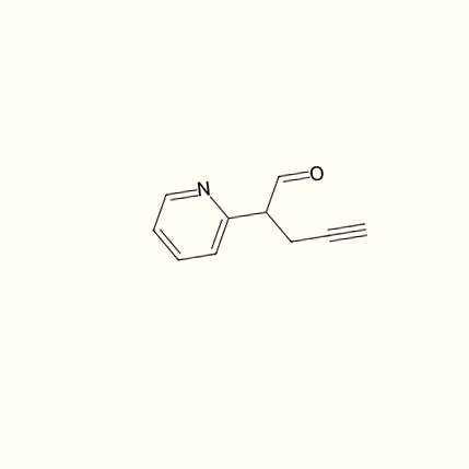 C#CCC(C=O)c1ccccn1